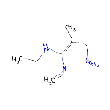 C=N/C(NCC)=C(/C)CN